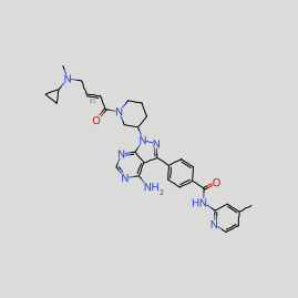 Cc1ccnc(NC(=O)c2ccc(-c3nn(C4CCCN(C(=O)/C=C/CN(C)C5CC5)C4)c4ncnc(N)c34)cc2)c1